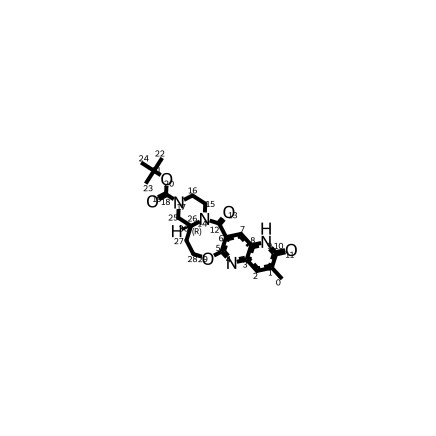 Cc1cc2nc3c(cc2[nH]c1=O)C(=O)N1CCN(C(=O)OC(C)(C)C)C[C@H]1CCO3